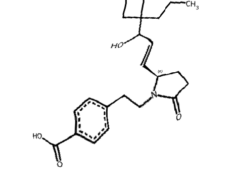 CCCC1(C(O)C=C[C@H]2CCC(=O)N2CCc2ccc(C(=O)O)cc2)CCC1